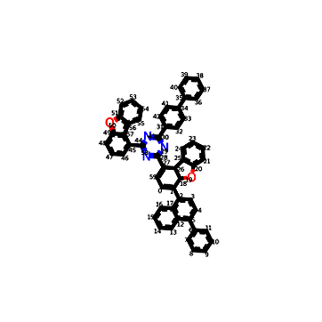 C1=C(c2ccc(-c3ccccc3)c3ccccc23)C2Oc3ccccc3C2C(c2nc(-c3ccc(-c4ccccc4)cc3)nc(-c3cccc4oc5ccccc5c34)n2)=C1